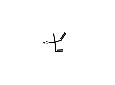 C=CC(C)(O)C=C